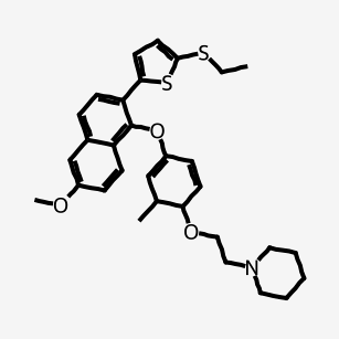 CCSc1ccc(-c2ccc3cc(OC)ccc3c2OC2=CC(C)C(OCCN3CCCCC3)C=C2)s1